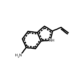 C=Cc1cc2ccc(N)cc2[nH]1